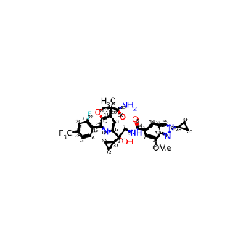 COc1cc(C(=O)NCC(O)(c2cc3c(c(-c4ccc(C(F)(F)F)cc4F)n2)OC[C@]3(C)C(N)=O)C2CC2)cc2cn(C3CC3)nc12